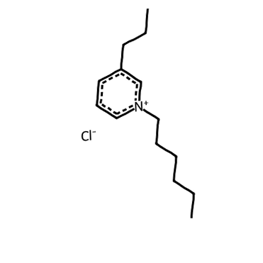 CCCCCC[n+]1cccc(CCC)c1.[Cl-]